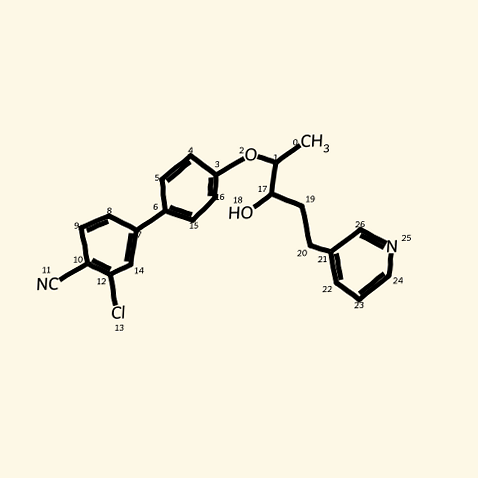 CC(Oc1ccc(-c2ccc(C#N)c(Cl)c2)cc1)C(O)CCc1cccnc1